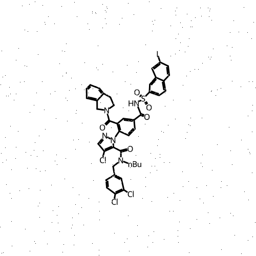 CCCCN(Cc1ccc(Cl)c(Cl)c1)C(=O)c1c(Cl)cnn1-c1ccc(C(=O)NS(=O)(=O)c2ccc3ccc(I)cc3c2)cc1C(=O)N1CCc2ccccc2C1